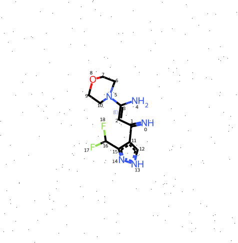 N=C(/C=C(\N)N1CCOCC1)c1c[nH]nc1C(F)F